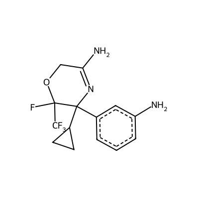 NC1=NC(c2cccc(N)c2)(C2CC2)C(F)(C(F)(F)F)OC1